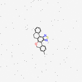 Cc1ccc2c(c1)COc1c3c(c4nsnc4c1-2)-c1ccccc1CC3